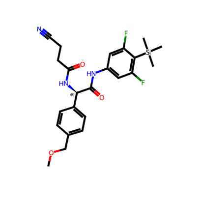 COCc1ccc([C@@H](NC(=O)CCC#N)C(=O)Nc2cc(F)c([Si](C)(C)C)c(F)c2)cc1